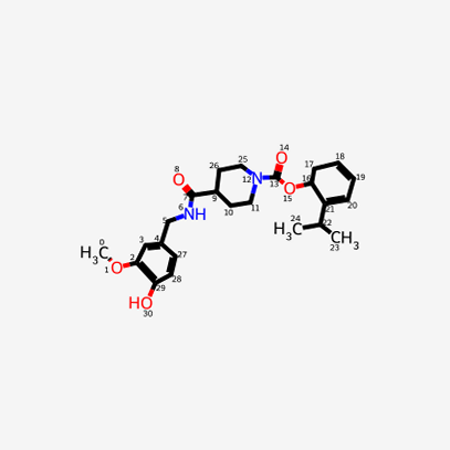 COc1cc(CNC(=O)C2CCN(C(=O)OC3CC=CC=C3C(C)C)CC2)ccc1O